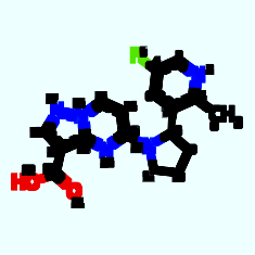 Cc1ncc(F)cc1[C@H]1CCCN1c1ccn2ncc(C(=O)O)c2n1